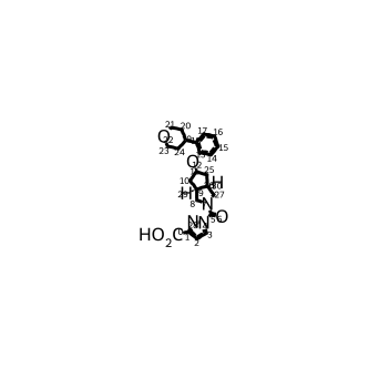 O=C(O)c1ccn(C(=O)N2C[C@H]3C[C@H](Oc4ccccc4C4CCOCC4)C[C@H]3C2)n1